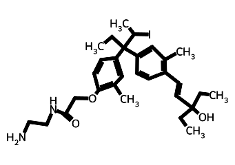 CCC(O)(C=Cc1ccc(C(CC)(c2ccc(OCC(=O)NCCN)c(C)c2)C(C)I)cc1C)CC